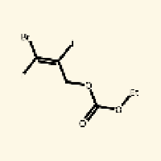 CCOC(=O)OCC(I)=C(Br)I